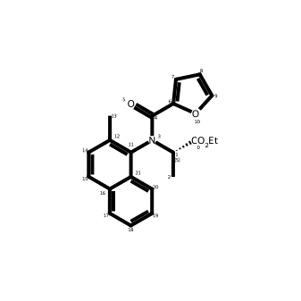 CCOC(=O)[C@H](C)N(C(=O)c1ccco1)c1c(C)ccc2ccccc12